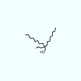 CCCCCCCCC(CO)(CCC)CCCCCCCC